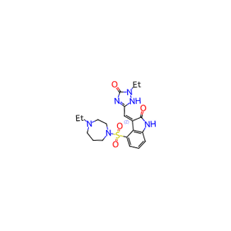 CCN1CCCN(S(=O)(=O)c2cccc3c2/C(=C/c2nc(=O)n(CC)[nH]2)C(=O)N3)CC1